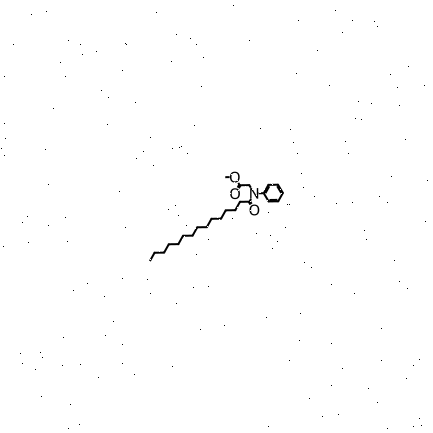 CCCCCCCCCCCCCCC(=O)N(CC(=O)OC)c1ccccc1